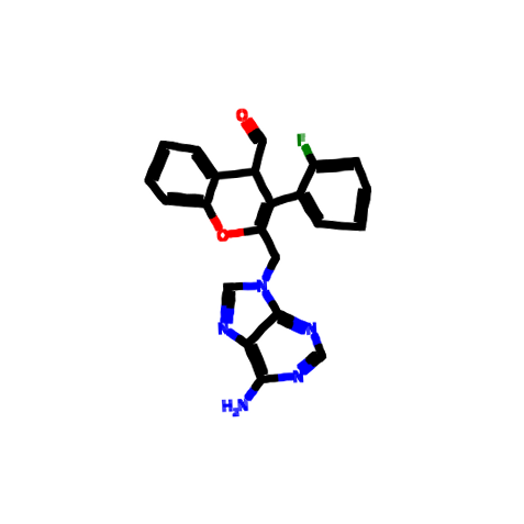 Nc1ncnc2c1ncn2CC1=C(c2ccccc2F)C(C=O)c2ccccc2O1